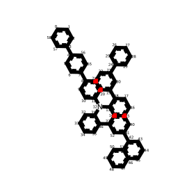 c1ccc(-c2ccc(-c3ccc(N(c4ccccc4-c4cccc(-c5ccccc5)c4)c4ccccc4-c4cccc(-c5cccc6ccccc56)c4)cc3)cc2)cc1